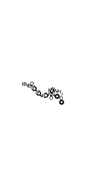 CC(C)(C)OC(=O)N1CCC(N2CCC(CN3CCC(n4c(=O)n(-c5ccc(Oc6ccccc6)cc5)c5c(N)ncnc54)CC3)CC2)CC1